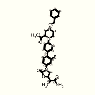 CC(=O)C1CN(OCc2ccccc2)CCN1c1ccc(-c2ccc(N3CC(C(C)C(N)=O)OC3=O)cc2F)cn1